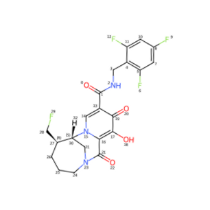 O=C(NCc1c(F)cc(F)cc1F)c1cn2c(c(O)c1=O)C(=O)N1CCC[C@@H](CF)[C@H]2C1